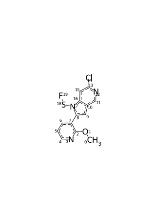 COc1ncccc1-c1cc2cnc(Cl)cc2n1SF